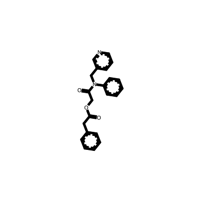 O=C(Cc1ccccc1)OCC(=O)N(Cc1cccnc1)c1ccccc1